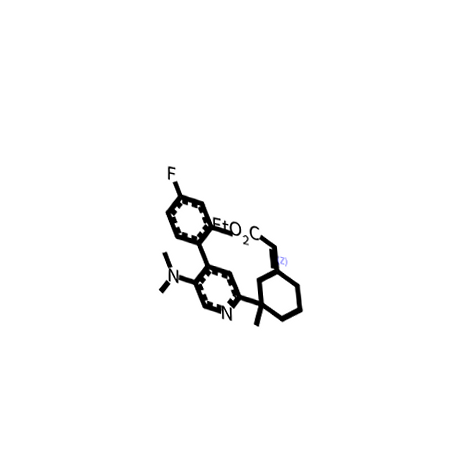 CCOC(=O)/C=C1/CCCC(C)(c2cc(-c3ccc(F)cc3C)c(N(C)C)cn2)C1